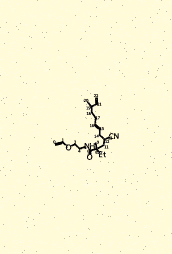 C=COCCNC(=O)C(C)(CC)CC(C#N)CC=CCCC(C)C=C